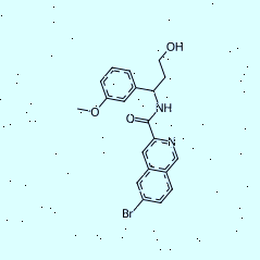 COc1cccc(C(CCO)NC(=O)c2cc3cc(Br)ccc3cn2)c1